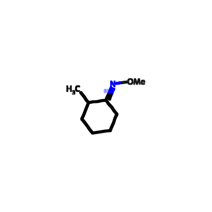 CO/N=C1\CCCCC1C